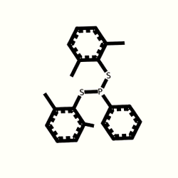 Cc1cccc(C)c1SP(Sc1c(C)cccc1C)c1ccccc1